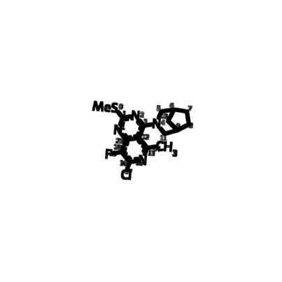 CSc1nc(N2CC3CCC(C3)C2)c2c(C)nc(Cl)c(F)c2n1